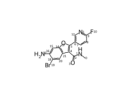 CNC(=O)c1c(-c2ccc(F)nc2)oc2cc(N)c(Br)cc12